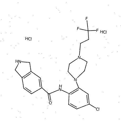 Cl.Cl.O=C(Nc1ccc(Cl)cc1N1CCN(CCC(F)(F)F)CC1)c1ccc2c(c1)CNC2